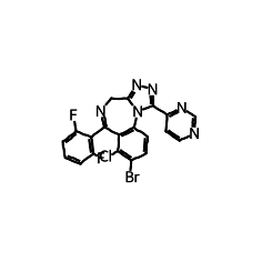 Fc1cccc(F)c1C1=NCc2nnc(-c3ccncn3)n2-c2ccc(Br)c(Cl)c21